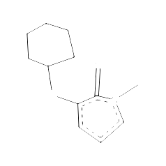 Cn1cccc(OC2CCCCC2)c1=O